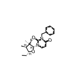 CC[C@H]1O[C@@H](n2ccc(=O)n(Cc3ccccc3)c2=O)[C@](C)(F)[C@@H]1C